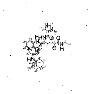 CCNC(=O)C(=O)CC[C@H](NC(=O)c1cncn1C)C(=O)Nc1cccn(CC(=O)NC23CC4CC(CC(F)(C4)C2)C3)c1=O